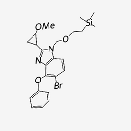 COC1CC1c1nc2c(Oc3ccccc3)c(Br)ccc2n1COCC[Si](C)(C)C